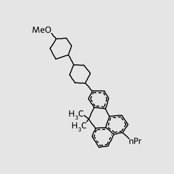 CCCc1ccc2c3c(cccc13)C(C)(C)c1cc(C3CCC(C4CCC(OC)CC4)CC3)ccc1-2